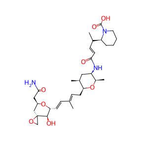 CC(/C=C/[C@H]1O[C@H](CC(N)=O)C[C@@]2(CO2)[C@@H]1O)=C\C[C@@H]1O[C@H](C)[C@H](NC(=O)/C=C/C(C)[C@@H]2CCCCN2C(=O)O)C[C@@H]1C